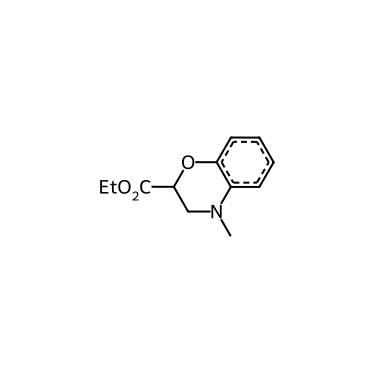 CCOC(=O)C1CN(C)c2ccccc2O1